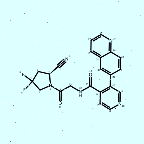 N#C[C@@H]1CC(F)(F)CN1C(=O)CNC(=O)c1ccncc1-c1ccc2ncccc2c1